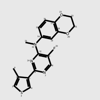 Cc1cscc1-c1ncc(F)c(N(C)c2ccc3c(c2)OCCO3)n1